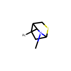 CC(=O)C1C2CCC(SC2)N1C